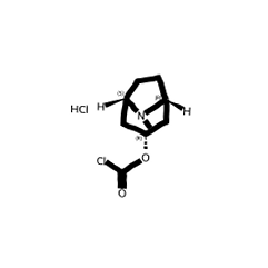 CN1[C@@H]2CC[C@H]1C[C@@H](OC(=O)Cl)C2.Cl